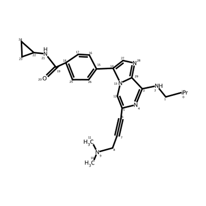 CC(C)CNc1nc(C#CCN(C)C)cn2c(-c3ccc(C(=O)NC4CC4)cc3)cnc12